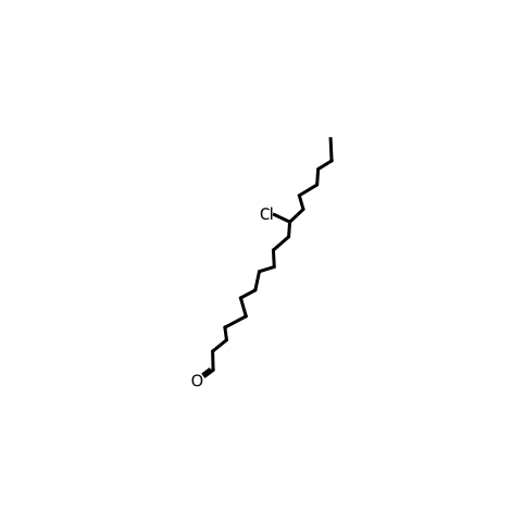 CCCCCCC(Cl)CCCCCCCCCCC=O